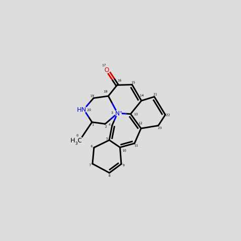 CC1C[N+]23C=C4CCC=CC4=CC4=C2C(=CC(=O)C3CN1)C=CC4